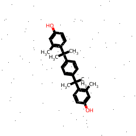 Cc1cc(O)ccc1C(C)(C)c1ccc(C(C)(C)c2ccc(O)cc2C)cc1